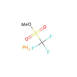 COS(=O)(=O)C(F)(F)F.P